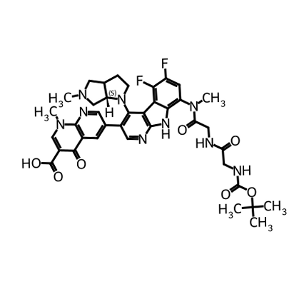 CN1CC2CCN(c3c(-c4cnc5c(c4)c(=O)c(C(=O)O)cn5C)cnc4[nH]c5c(N(C)C(=O)CNC(=O)CNC(=O)OC(C)(C)C)cc(F)c(F)c5c34)[C@@H]2C1